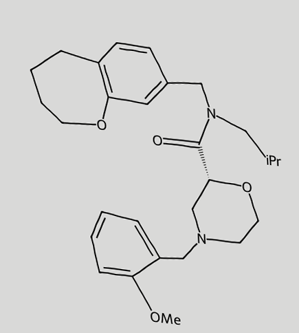 COc1ccccc1CN1CCO[C@@H](C(=O)N(Cc2ccc3c(c2)OCCCC3)CC(C)C)C1